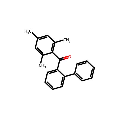 Cc1cc(C)c(C(=O)c2ccccc2-c2ccccc2)c(C)c1